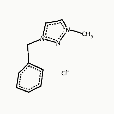 Cn1cc[n+](Cc2ccccc2)n1.[Cl-]